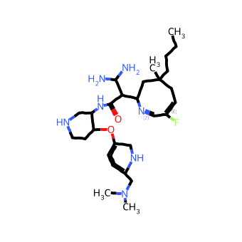 CCCCC1(C)C/C=C(F)\C=N/C(C(C(=O)NC2CNCCC2OC2=C=C=C(CN(C)C)NC2)C(N)N)C1